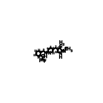 C=C1C(Cc2ccc(NCc3ccccc3OC(F)F)nc2)=CN/C1=N/C